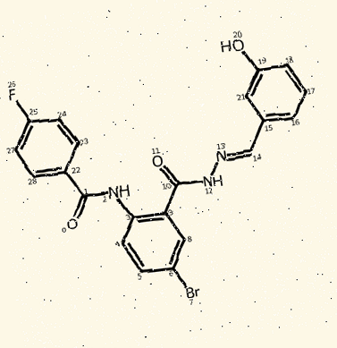 O=C(Nc1ccc(Br)cc1C(=O)NN=Cc1cccc(O)c1)c1ccc(F)cc1